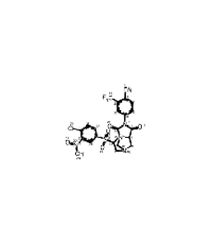 N#Cc1ccc(N2C(=O)C3C[N@@]4CC(S(=O)(=O)c5ccc(Cl)c([N+](=O)O)c5)[N+]3(C4)C2=O)cc1C(F)(F)F